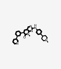 CN1CCC(c2ccc(Nc3ncc4cc(-c5cccc(-c6cccnc6)c5)c(=O)n(C)c4n3)cc2)CC1